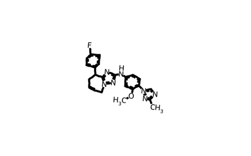 COc1cc(Nc2nc3n(n2)CC=CCC3c2ccc(F)cc2)ccc1-n1cnc(C)n1